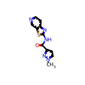 Cn1ccc(C(=O)Nc2nc3ccncc3s2)n1